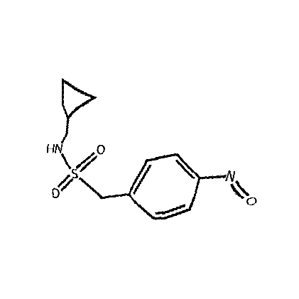 O=Nc1ccc(CS(=O)(=O)NC2CC2)cc1